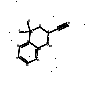 C#CC1CC(C)(C)c2ccccc2S1